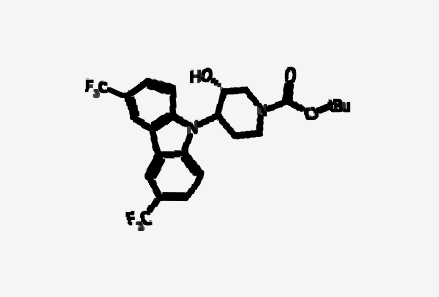 CC(C)(C)OC(=O)N1CCC(n2c3ccc(C(F)(F)F)cc3c3cc(C(F)(F)F)ccc32)[C@H](O)C1